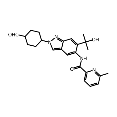 Cc1cccc(C(=O)Nc2cc3cn(C4CCC(C=O)CC4)nc3cc2C(C)(C)O)n1